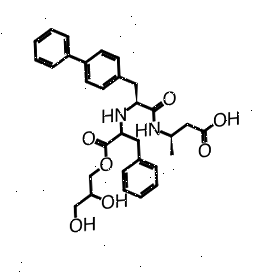 C[C@H](CC(=O)O)NC(=O)[C@H](Cc1ccc(-c2ccccc2)cc1)NC(Cc1ccccc1)C(=O)OCC(O)CO